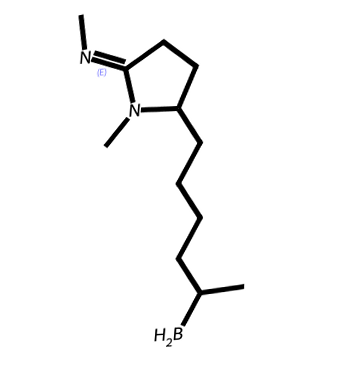 BC(C)CCCCC1CC/C(=N\C)N1C